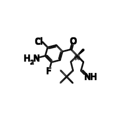 CC(C)(C)CC[C@@](C)(CC=N)C(=O)c1cc(F)c(N)c(Cl)c1